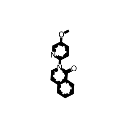 COc1ccc(-n2ccc3ccccc3c2=O)nc1